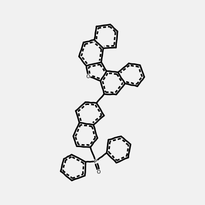 O=P(c1ccccc1)(c1ccccc1)c1ccc2ccc(-c3cc4ccccc4c4c3oc3ccc5ccccc5c34)cc2c1